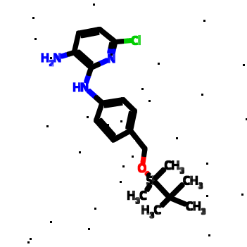 CC(C)(C)[Si](C)(C)OCc1ccc(Nc2nc(Cl)ccc2N)cc1